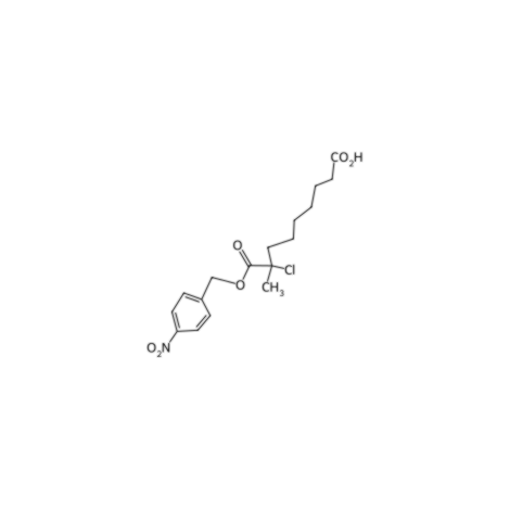 CC(Cl)(CCCCCCC(=O)O)C(=O)OCc1ccc([N+](=O)[O-])cc1